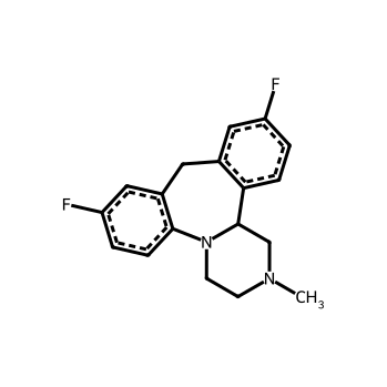 CN1CCN2c3ccc(F)cc3Cc3cc(F)ccc3C2C1